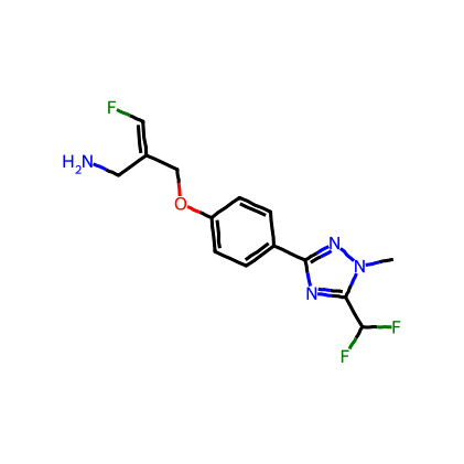 Cn1nc(-c2ccc(OC/C(=C/F)CN)cc2)nc1C(F)F